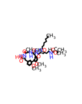 CCCCCCCC(=O)N[C@@H](CCCCNC(=O)OC(C)(C)C)C(=O)N(C)[C@@H]1C(=O)N[C@@H](C)C(=O)N[C@H](C(=O)O)Cc2ccc(OC)c(c2)-c2cc1ccc2OC